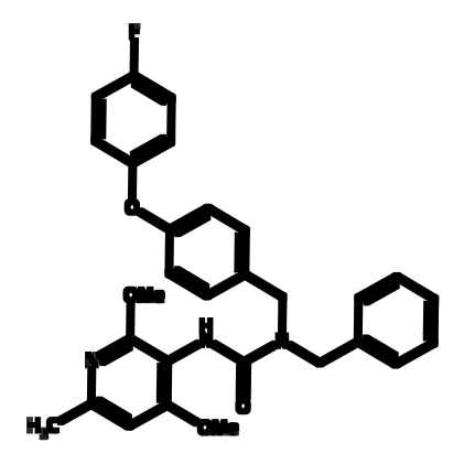 COc1cc(C)nc(OC)c1NC(=O)N(Cc1ccccc1)Cc1ccc(Oc2ccc(F)cc2)cc1